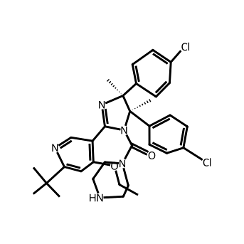 CCOc1cc(C(C)(C)C)ncc1C1=N[C@@](C)(c2ccc(Cl)cc2)[C@@](C)(c2ccc(Cl)cc2)N1C(=O)N1CCNCC1